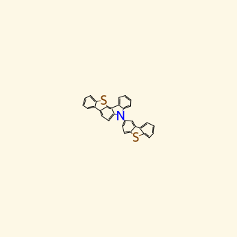 c1ccc2c(c1)sc1ccc(-n3c4ccccc4c4c5sc6ccccc6c5ccc43)cc12